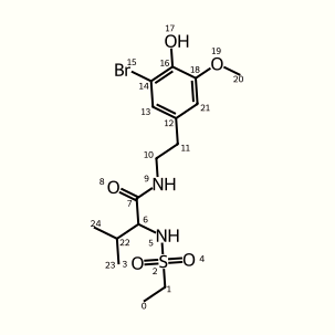 CCS(=O)(=O)NC(C(=O)NCCc1cc(Br)c(O)c(OC)c1)C(C)C